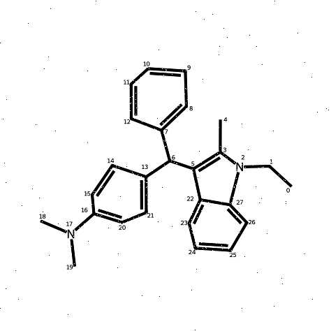 CCn1c(C)c(C(c2ccccc2)c2ccc(N(C)C)cc2)c2ccccc21